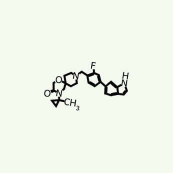 CC1(N2CC3(CCN(Cc4ccc(-c5ccc6cc[nH]c6c5)cc4F)CC3)OCC2=O)CC1